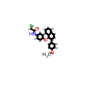 COc1ccc(-c2ccc3ccccc3c2Oc2ccc(NC(=O)CBr)cc2)cc1